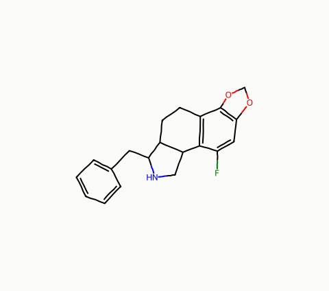 Fc1cc2c(c3c1C1CNC(Cc4ccccc4)C1CC3)OCO2